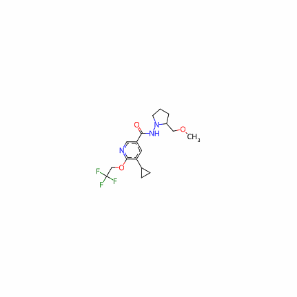 COCC1CCCN1NC(=O)c1cnc(OCC(F)(F)F)c(C2CC2)c1